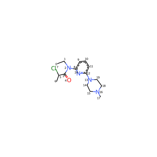 CCN(C(=O)C(C)Cl)c1cccc(N2CCN(C)CC2)n1